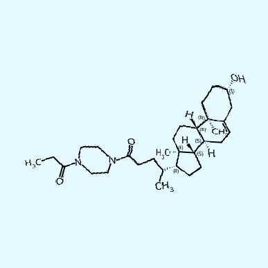 CCC(=O)N1CCN(C(=O)CCC(C)[C@H]2CC[C@H]3[C@@H]4CC=C5C[C@@H](O)CC[C@]5(C)[C@H]4CC[C@]23C)CC1